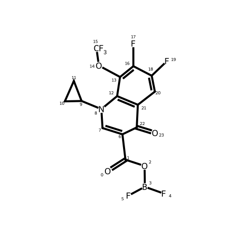 O=C(OB(F)F)c1cn(C2CC2)c2c(OC(F)(F)F)c(F)c(F)cc2c1=O